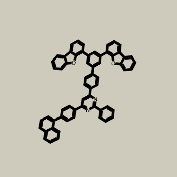 c1ccc(-c2nc(-c3ccc(-c4cc(-c5cccc6c5oc5ccccc56)cc(-c5cccc6c5oc5ccccc56)c4)cc3)cc(-c3ccc(-c4cccc5ccccc45)cc3)n2)cc1